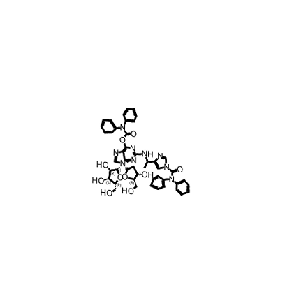 CC(Nc1nc(OC(=O)N(c2ccccc2)c2ccccc2)c2c(n1)[N+]([C@@H]1C[C@H](O)[C@@H](CO)O1)([C@@H]1O[C@H](CO)[C@@H](O)[C@H]1O)C=N2)c1cn(C(=O)N(c2ccccc2)c2ccccc2)cn1